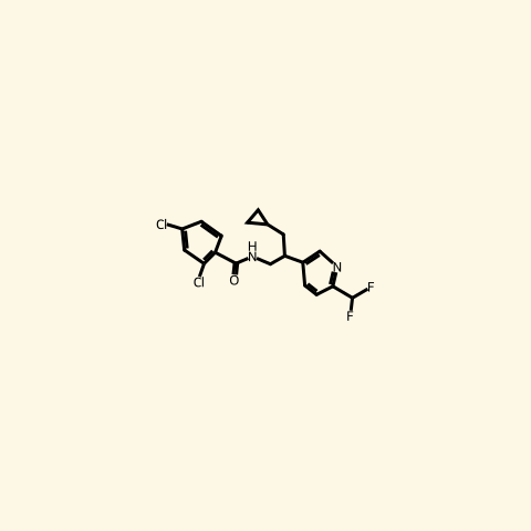 O=C(NCC(CC1CC1)c1ccc(C(F)F)nc1)c1ccc(Cl)cc1Cl